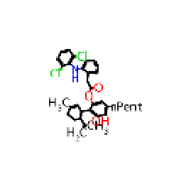 C=C(C)C1CCC(C)=CC1c1c(O)cc(CCCCC)cc1OC(=O)Cc1ccccc1Nc1c(Cl)cccc1Cl